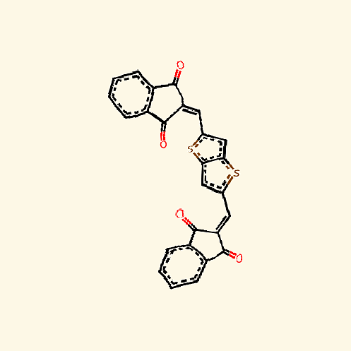 O=C1C(=Cc2cc3sc(C=C4C(=O)c5ccccc5C4=O)cc3s2)C(=O)c2ccccc21